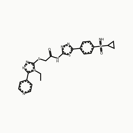 CCn1c(SCC(=O)Nc2nnc(-c3ccc(S(=N)(=O)C4CC4)cc3)s2)nnc1-c1ccncc1